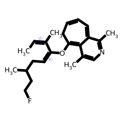 C/C=C(C)\C(=C/CC(C)CCF)OC1=c2c(C)cnc(C)c2=CC=CC1